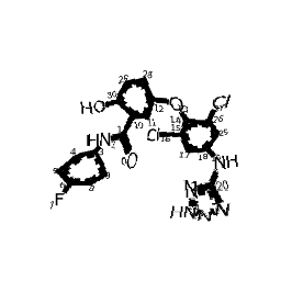 O=C(Nc1ccc(F)cc1)c1cc(Oc2c(Cl)cc(Nc3nn[nH]n3)cc2Cl)ccc1O